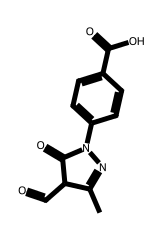 CC1=NN(c2ccc(C(=O)O)cc2)C(=O)C1C=O